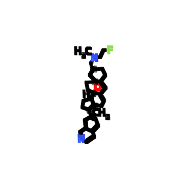 CN(CCF)C[C@@H]1CCC2=CC3=CC[C@]4(C)[C@@H](c5ccc6ccncc6c5)CC[C@H]4[C@@]34CC[C@]2(C1)O4